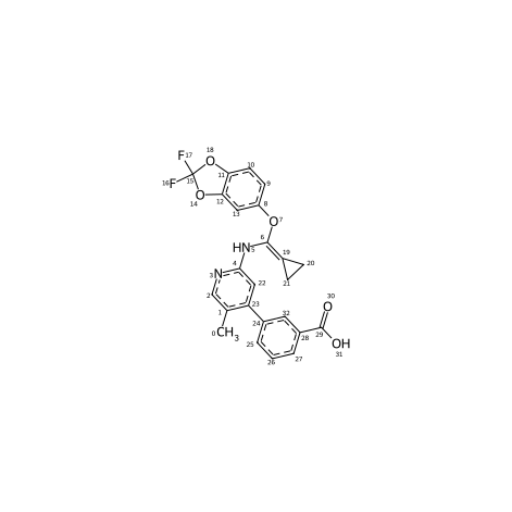 Cc1cnc(NC(Oc2ccc3c(c2)OC(F)(F)O3)=C2CC2)cc1-c1cccc(C(=O)O)c1